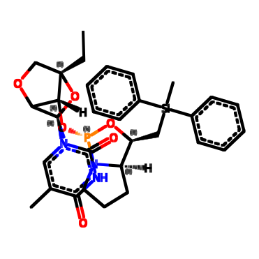 CC[C@@]12COC([C@H](n3cc(C)c(=O)[nH]c3=O)O1)[C@H]2O[P@]1O[C@@H](C[Si](C)(c2ccccc2)c2ccccc2)[C@H]2CCCN21